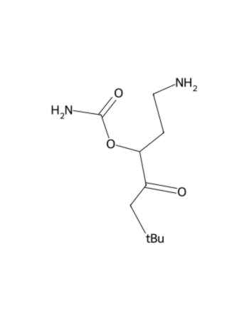 CC(C)(C)CC(=O)C(CCN)OC(N)=O